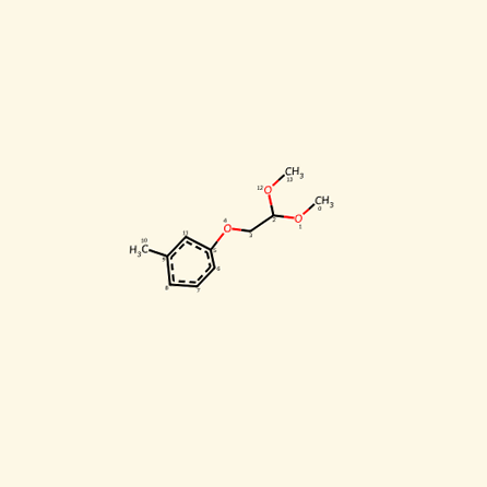 COC(COc1cccc(C)c1)OC